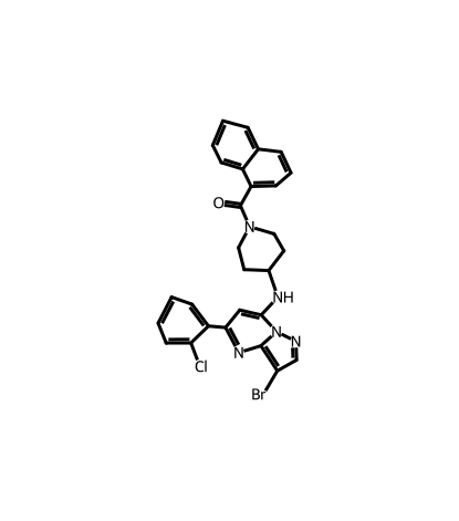 O=C(c1cccc2ccccc12)N1CCC(Nc2cc(-c3ccccc3Cl)nc3c(Br)cnn23)CC1